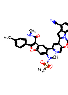 CNC(=O)c1c(-c2ccc(C)cc2)oc2cc(N(C)S(C)(=O)=O)c(-c3cc4c(cn3)OCn3c-4cc4c(C#N)cccc43)cc12